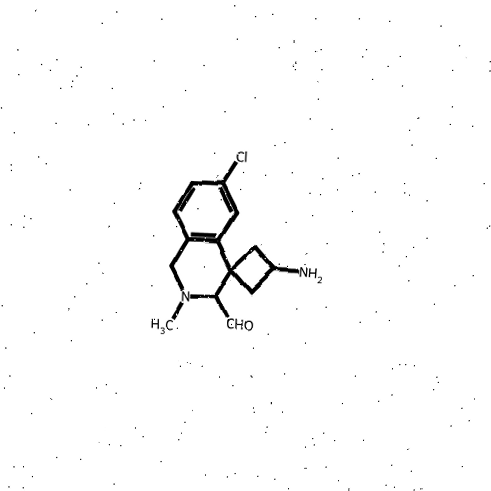 CN1Cc2ccc(Cl)cc2C2(CC(N)C2)C1C=O